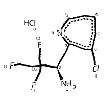 Cl.N[C@H](c1ncccc1Cl)C(F)(F)F